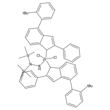 CC(C)(C)c1ccccc1-c1cccc2c1C=C(c1ccccc1)[CH]2[Zr]([Cl])([Cl])([BH]N([Si](C)(C)C)[Si](C)(C)C)[CH]1C(c2ccccc2)=Cc2c(-c3ccccc3C(C)(C)C)cccc21